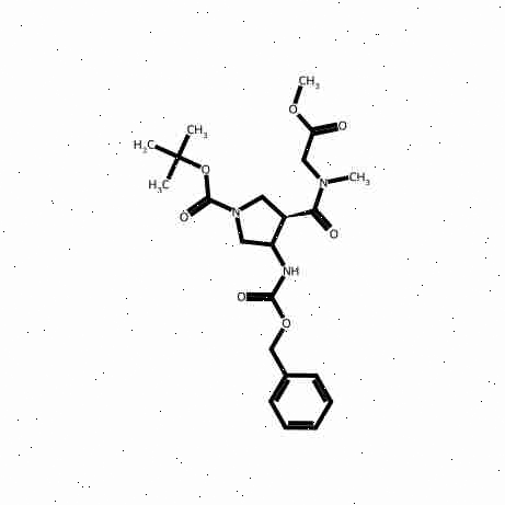 COC(=O)CN(C)C(=O)[C@@H]1CN(C(=O)OC(C)(C)C)CC1NC(=O)OCc1ccccc1